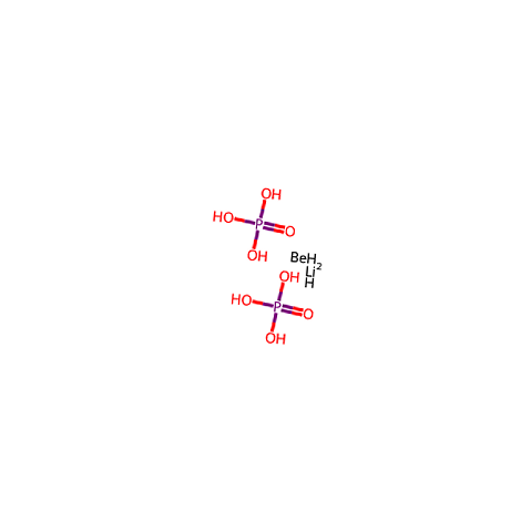 O=P(O)(O)O.O=P(O)(O)O.[BeH2].[LiH]